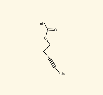 CCCCC#CCCOC(=O)CCC